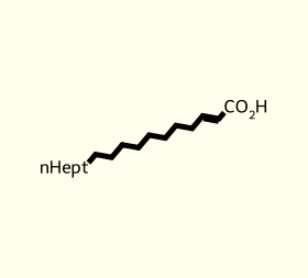 CCCCCCCCCCCCCCC/C=C/C(=O)O